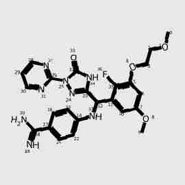 COCCOc1cc(OC)cc(C(Nc2ccc(C(=N)N)cc2)c2nn(-c3ncccn3)c(=O)[nH]2)c1F